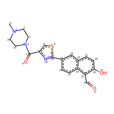 CN1CCN(C(=O)c2csc(-c3ccc4c(C=O)c(O)ccc4c3)n2)CC1